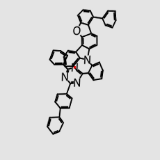 c1ccc(-c2ccc(-c3nc(-c4ccccc4)nc(-c4ccccc4-n4c5ccccc5c5c6oc7cccc(-c8ccccc8)c7c6ccc54)n3)cc2)cc1